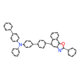 c1ccc(-c2ccc(N(c3ccccc3)c3ccc(-c4ccc(-c5cc6nc(-c7ccccc7)oc6c6ccccc56)cc4)cc3)cc2)cc1